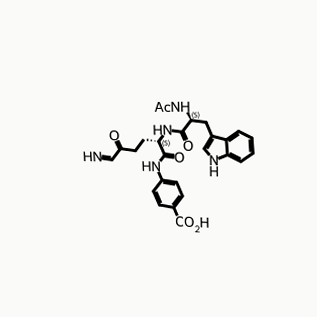 CC(=O)N[C@@H](Cc1c[nH]c2ccccc12)C(=O)N[C@@H](CCC(=O)C=N)C(=O)Nc1ccc(C(=O)O)cc1